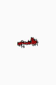 O=C(CO)C1=C(COCc2cn(CCOCCOCCNC(=O)c3ccc(C4(C(F)(F)F)N=N4)cc3)nn2)NC(c2ccncc2)=NC1c1ccc(F)cc1Cl